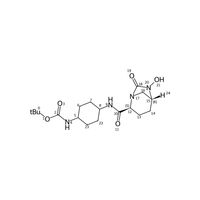 CC(C)(C)OC(=O)NC1CCC(NC(=O)[C@@H]2CC[C@@H]3CN2C(=O)N3O)CC1